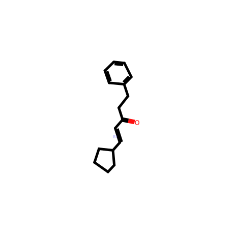 O=C(/C=C/C1CCCC1)CCc1ccccc1